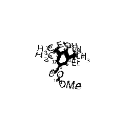 CCC(C)(C)c1cc(C(=O)OCOC)cc(C(C)(C)CC)c1O